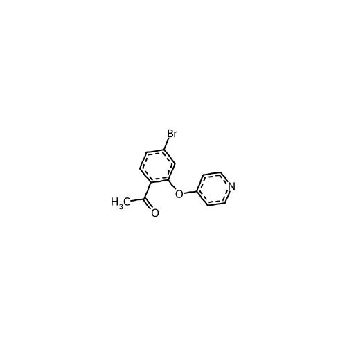 CC(=O)c1ccc(Br)cc1Oc1ccncc1